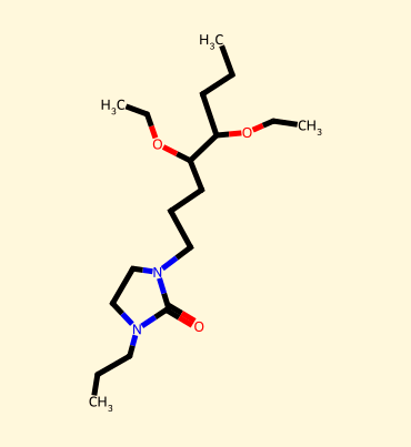 CCCC(OCC)C(CCCN1CCN(CCC)C1=O)OCC